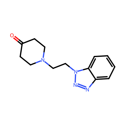 O=C1CCN(CCn2nnc3ccccc32)CC1